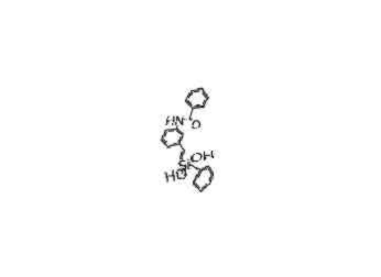 O=C(Nc1cccc(C=C[Si](O)(O)c2ccccc2)c1)c1ccccc1